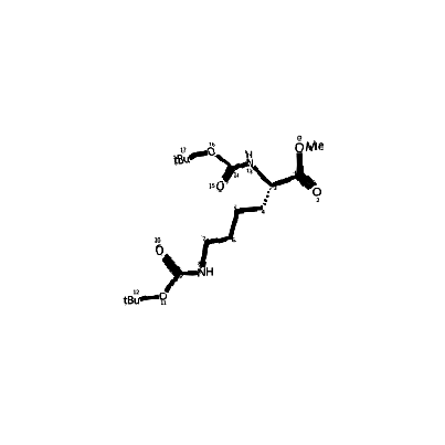 COC(=O)[C@H](CCCCNC(=O)OC(C)(C)C)NC(=O)OC(C)(C)C